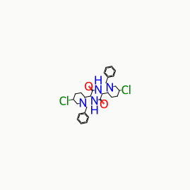 O=C1NC(C2CCC(Cl)CN2Cc2ccccc2)C(=O)NC1C1CCC(Cl)CN1Cc1ccccc1